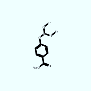 CC[O][In]([O]CC)[O]c1ccc(C(=O)OC)cc1